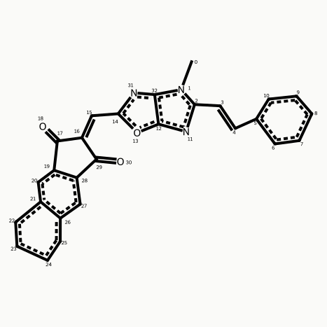 Cn1c(/C=C/c2ccccc2)nc2oc(C=C3C(=O)c4cc5ccccc5cc4C3=O)nc21